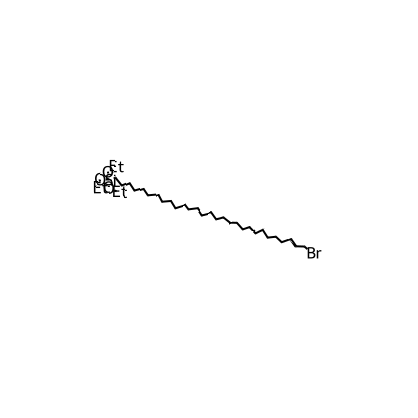 CCO[Si](CCCCCCCCCCCCCCCCCCCCCCCCCCCCCBr)(OCC)OCC